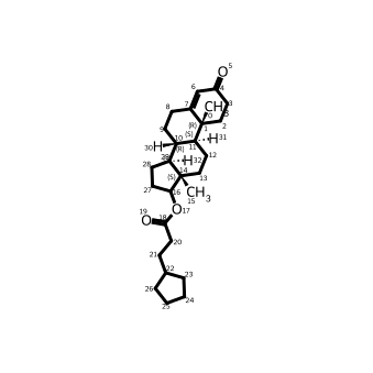 C[C@]12CCC(=O)C=C1CC[C@@H]1[C@@H]2CC[C@]2(C)C(OC(=O)CCC3CCCC3)CC[C@@H]12